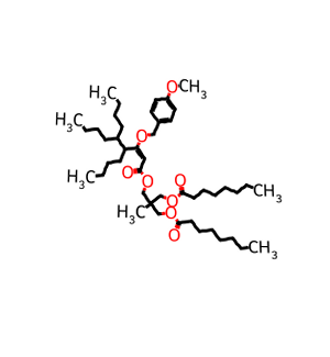 CCCCCCCC(=O)OCC(C)(COC(=O)C=C(OCc1ccc(OC)cc1)C(CCCC)C(CCCC)CCCC)COC(=O)CCCCCCC